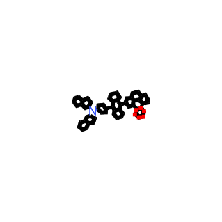 c1ccc(-c2cccc3ccc4cc(-c5c6ccccc6c(-c6ccc(N(c7ccc8ccccc8c7)c7ccc8ccccc8c7)cc6)c6ccccc56)cc(-c5ccccc5)c4c23)cc1